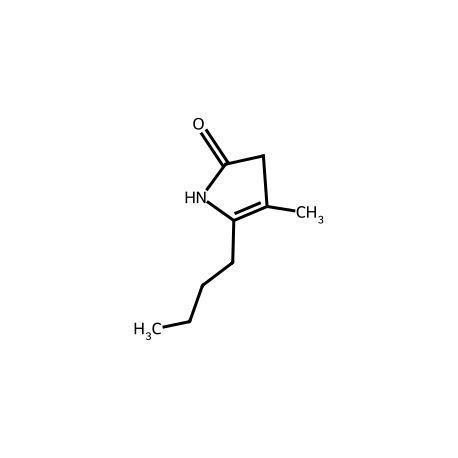 CCCCC1=C(C)CC(=O)N1